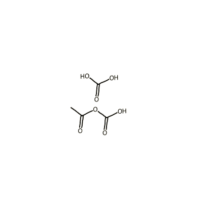 CC(=O)OC(=O)O.O=C(O)O